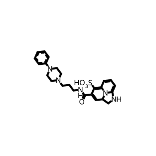 O=C(NCCCN1CCN(c2ccccc2)CC1)C1=CC2CNC3=CC=CC(=C1S(=O)(=O)O)N32